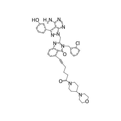 Nc1ncnc2c1c(-c1cccc(O)c1)nn2Cc1nc2cccc(C#CCCCC(=O)N3CCC(N4CCOCC4)CC3)c2c(=O)n1Cc1ccccc1Cl